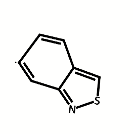 [c]1ccc2csnc2c1